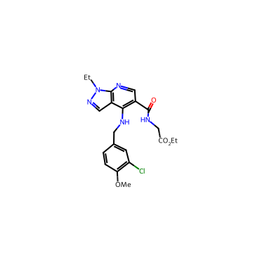 CCOC(=O)CNC(=O)c1cnc2c(cnn2CC)c1NCc1ccc(OC)c(Cl)c1